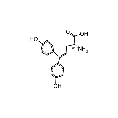 N[C@H](CC=C(c1ccc(O)cc1)c1ccc(O)cc1)C(=O)O